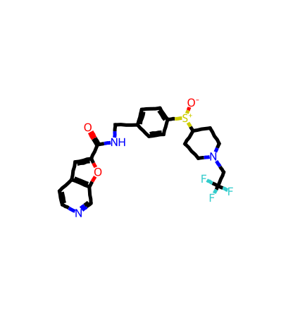 O=C(NCc1ccc([S+]([O-])C2CCN(CC(F)(F)F)CC2)cc1)c1cc2ccncc2o1